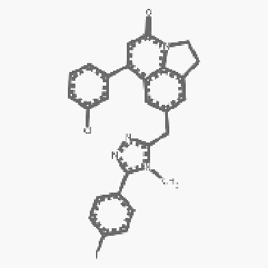 Cn1c(Cc2cc3c4c(c2)c(-c2cccc(Cl)c2)cc(=O)n4CC3)nnc1-c1ccc(I)cc1